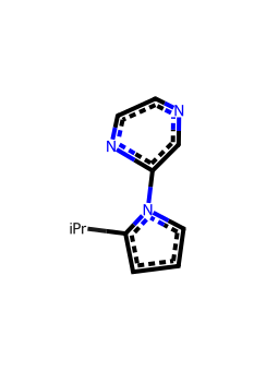 CC(C)c1cccn1-c1cnccn1